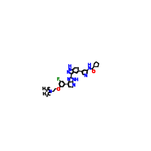 CN(C)CCOc1cc(F)cc(-c2ccnc3[nH]c(-c4n[nH]c5ccc(-c6cncc(NC(=O)C7CCCC7)c6)cc45)nc23)c1